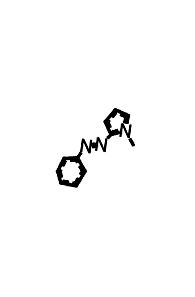 Cn1cccc1/N=N/c1ccccc1